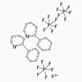 F[P-](F)(F)(F)(F)F.F[P-](F)(F)(F)(F)F.F[P-](F)(F)(F)(F)F.[Ir+3].c1ccc(-c2ccccn2)cc1.c1ccc(-c2ccccn2)cc1